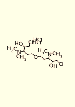 CN(C)C(CCOCCC(C(O)CCl)N(C)C)C(O)CCl.Cl.Cl